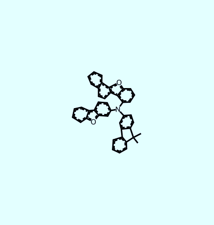 CC1(C)c2ccccc2-c2cc(N(c3ccc4c(c3)oc3ccccc34)c3cccc4oc5c6ccccc6ccc5c34)ccc21